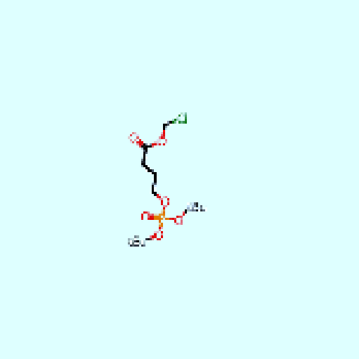 CC(C)(C)OP(=O)(OCCCC(=O)OCCl)OC(C)(C)C